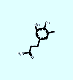 Cc1cc(CCC(N)=O)cc(C(C)(C)C)c1O